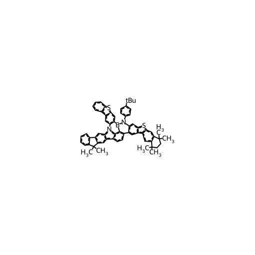 CC(C)(C)c1ccc(N2B3c4cc5sc6ccccc6c5cc4-n4c5cc6c(cc5c5ccc(c3c54)-c3cc4c(cc32)sc2cc3c(cc24)C(C)(C)CCC3(C)C)C(C)(C)c2ccccc2-6)cc1